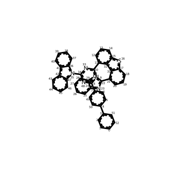 c1ccc(-c2ccc(-c3nc(-c4cccc5sc6cccc(-c7nc8ccccc8o7)c6c45)nc(-n4c5ccccc5c5ccccc54)n3)cc2)cc1